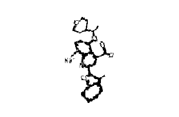 Cc1c(-c2cc(C(=O)[O-])c3c(O[C@H](C)C4CCOCC4)ccc(C)c3n2)oc2ccccc12.[Na+]